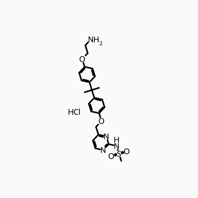 CC(C)(c1ccc(OCCN)cc1)c1ccc(OCc2ccnc(NS(C)(=O)=O)n2)cc1.Cl